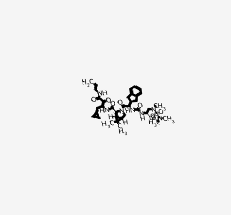 C=CCNC(=O)C(=O)C(CC1CC1)NC(=O)[C@@H]1[C@@H]2[C@H](CN1C(=O)[C@@H](NC(=O)N[C@H](CN(C)S(=O)(=O)N(C)C)C(C)(C)C)C1Cc3ccccc3C1)C2(C)C